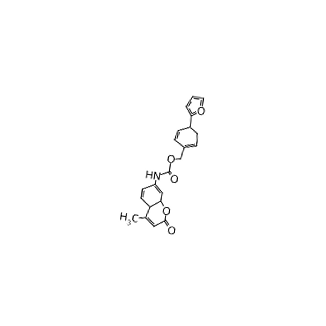 CC1=CC(=O)OC2C=C(NC(=O)OCC3=CCC(c4ccco4)C=C3)C=CC12